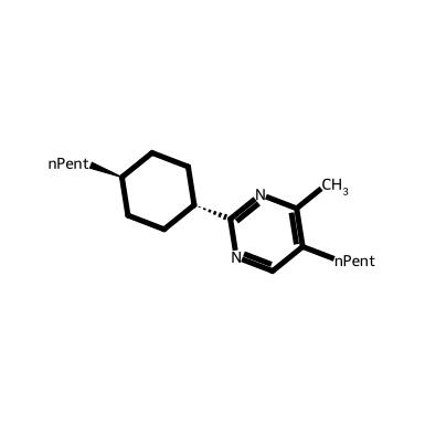 CCCCCc1cnc([C@H]2CC[C@H](CCCCC)CC2)nc1C